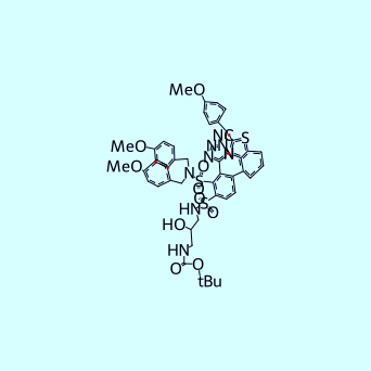 COc1ccc(CN(Cc2ccc(OC)cc2)S(=O)(=O)c2c(S(=O)(=O)NCC(O)CNC(=O)OC(C)(C)C)ccc(-c3cccc4sc(C#N)nc34)c2-c2nnn(Cc3ccc(OC)cc3)n2)cc1